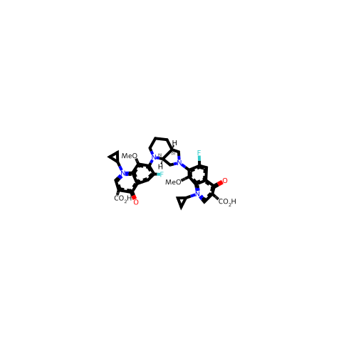 COc1c(N2C[C@@H]3CCCN(c4c(F)cc5c(=O)c(C(=O)O)cn(C6CC6)c5c4OC)[C@@H]3C2)c(F)cc2c(=O)c(C(=O)O)cn(C3CC3)c12